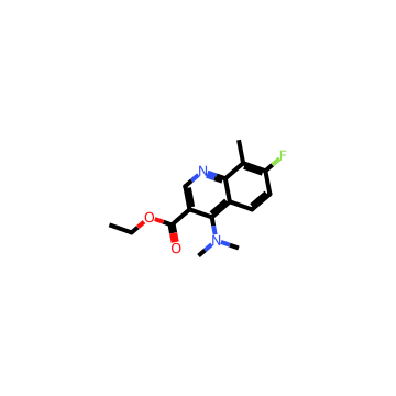 CCOC(=O)c1cnc2c(C)c(F)ccc2c1N(C)C